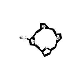 O=C(O)C1=CC2=CC3=NC(=CC4=NC(=CC5=NC(=CC1=N2)C=C5)C=C4)C=C3